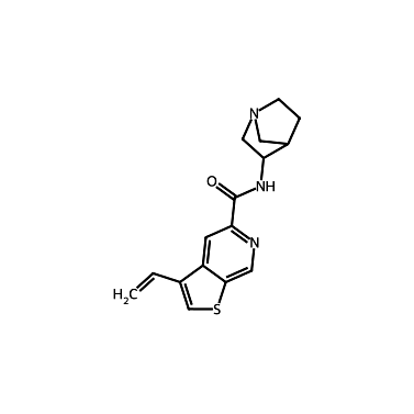 C=Cc1csc2cnc(C(=O)NC3CN4CCC3C4)cc12